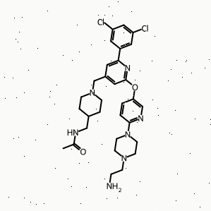 CC(=O)NCC1CCN(Cc2cc(Oc3ccc(N4CCN(CCN)CC4)nc3)nc(-c3cc(Cl)cc(Cl)c3)c2)CC1